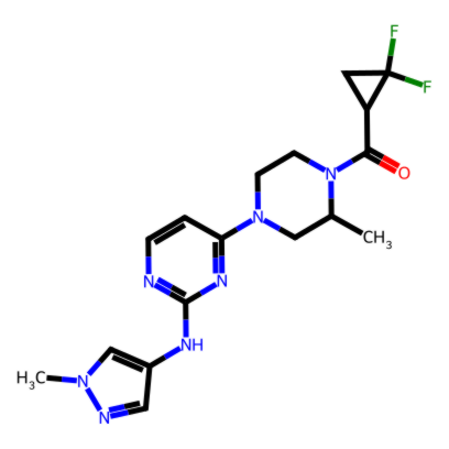 CC1CN(c2ccnc(Nc3cnn(C)c3)n2)CCN1C(=O)C1CC1(F)F